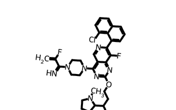 C=C(F)C(=N)N1CCN(c2nc(OCCC(C)C3CCCN3C)nc3c(F)c(-c4cccc5cccc(Cl)c45)ncc23)CC1